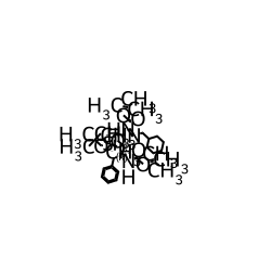 CC(C)(C)OC(=O)N[C@H](Cc1ccccc1)[C@@H](CN(CC1CCCCC1)NC(=O)OC(C)(C)C)O[Si](C)(C)OC(C)(C)C